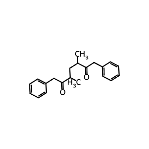 CC(CC(C)C(=O)Cc1ccccc1)C(=O)Cc1ccccc1